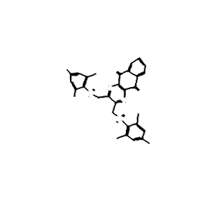 Cc1cc(C)c(S(=O)(=O)Cc2nc3c(nc2CS(=O)(=O)c2c(C)cc(C)cc2C)C(=O)c2ccccc2C3=O)c(C)c1